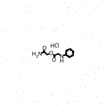 Cl.NC(=O)COC(=O)CNc1ccccc1